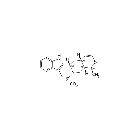 C[C@@H]1OC=C[C@H]2C[C@H]3c4[nH]c5ccccc5c4C[C@@H](C(=O)O)N3C[C@@H]12